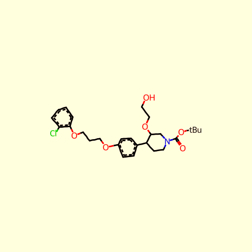 CC(C)(C)OC(=O)N1CCC(c2ccc(OCCCOc3ccccc3Cl)cc2)C(OCCO)C1